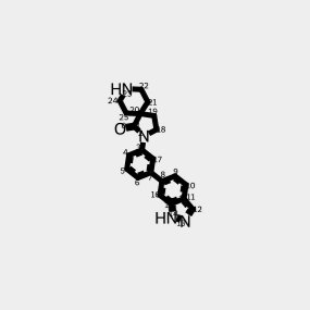 O=C1N(c2cccc(-c3ccc4cn[nH]c4c3)c2)CCC12CCNCC2